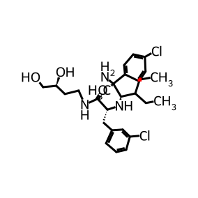 CCC(CC)[C@H](N[C@H](Cc1cccc(Cl)c1)C(=O)NCC[C@H](O)CO)[C@](C)(N)c1ccc(Cl)cc1